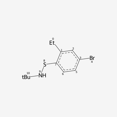 CCc1cc(Br)ccc1SNC(C)(C)C